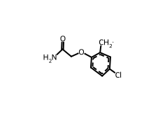 [CH2]c1cc(Cl)ccc1OCC(N)=O